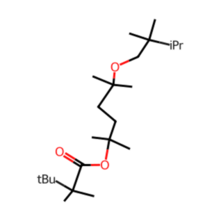 CC(C)C(C)(C)COC(C)(C)CCC(C)(C)OC(=O)C(C)(C)C(C)(C)C